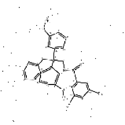 O=C(NCC(Cc1ccccc1)(c1cccc(OC(F)(F)F)c1)c1cccc(OC(F)(F)F)c1)c1cc(F)cc(F)c1